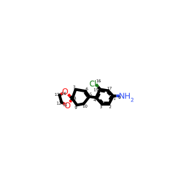 Nc1ccc(C2=CCC3(CC2)OCCO3)c(Cl)c1